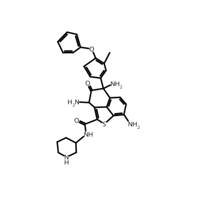 Cc1cc(C2(N)C(=O)C(N)c3c(C(=O)NC4CCCNC4)sc4c(N)ccc2c34)ccc1Oc1ccccc1